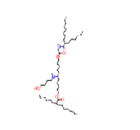 CCCCCCCCC(CCCCCC)C(=O)OCCCCCC(CCCCCOC(=O)CN(C)C(=O)C(CCCCCC)CCCCCCCC)N(C)CCCCO